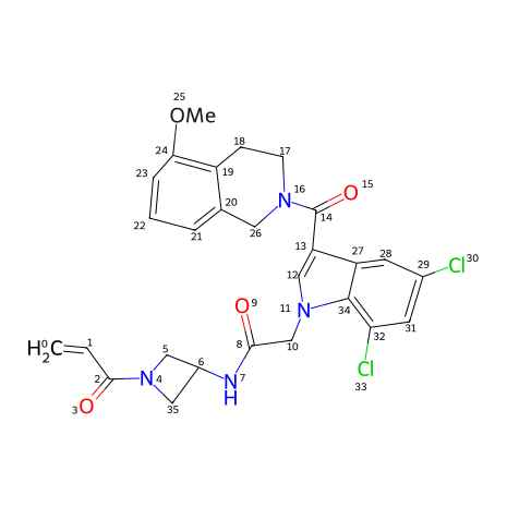 C=CC(=O)N1CC(NC(=O)Cn2cc(C(=O)N3CCc4c(cccc4OC)C3)c3cc(Cl)cc(Cl)c32)C1